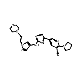 N#Cc1cc(-c2ccnc(Nc3cnn(CCN4CCOCC4)c3)n2)cnc1N1CCCC1